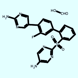 Nc1cnc(S(=O)(=O)c2ccccc2-c2ccc(-c3cnc(N)nc3)c(F)c2)nc1.O=CO